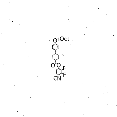 CCCCCCCCOc1ccc(C2CCC(C(=O)Oc3ccc(C#N)c(F)c3F)CC2)cc1